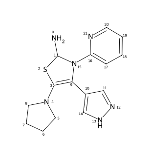 NC1SC(N2CCCC2)=C(c2cn[nH]c2)N1c1ccccn1